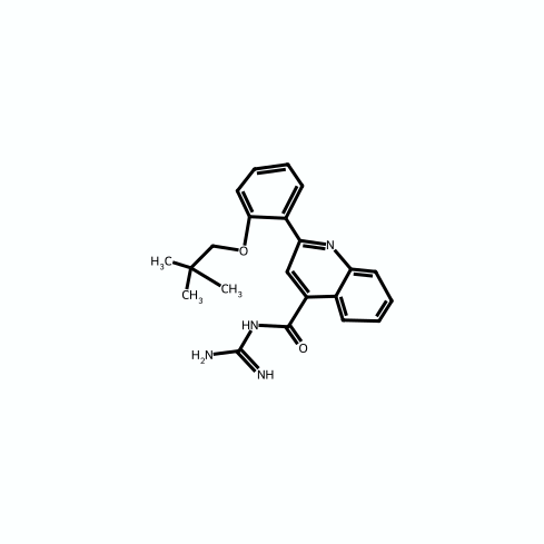 CC(C)(C)COc1ccccc1-c1cc(C(=O)NC(=N)N)c2ccccc2n1